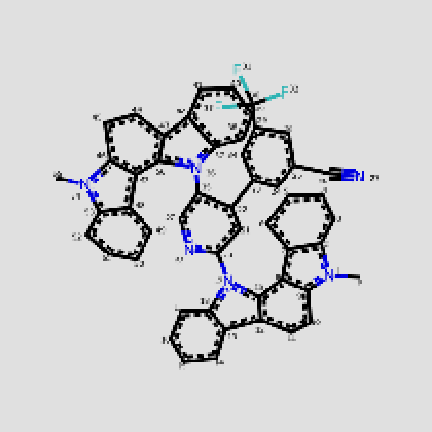 Cn1c2ccccc2c2c1ccc1c3ccccc3n(-c3cc(-c4cc(C#N)cc(C(F)(F)F)c4)c(-n4c5ccccc5c5ccc6c(c7ccccc7n6C)c54)cn3)c12